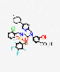 O=C(O)c1ccc(N(Cc2ccc(C3CCCCC3)cn2)C(=O)CN(Cc2ccccc2Cl)S(=O)(=O)c2c(F)c(F)c(F)c(F)c2Br)cc1O